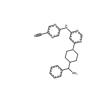 N#Cc1cnc(Nc2cc(N3CCC(C(N)c4ccccc4)CC3)ncn2)cn1